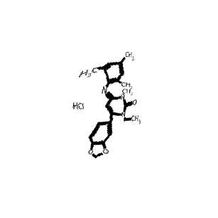 CCn1c(-c2ccc3c(c2)OCO3)c/c(=N/c2c(C)cc(C)cc2C)n(C)c1=O.Cl